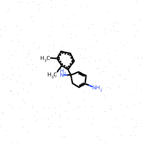 Cc1cccc(C2(N)C=CC(N)=CC2)c1C